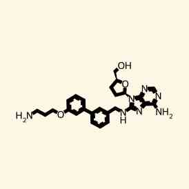 NCCCOc1cccc(-c2cccc(CNc3nc4c(N)ncnc4n3[C@H]3CC[C@@H](CO)O3)c2)c1